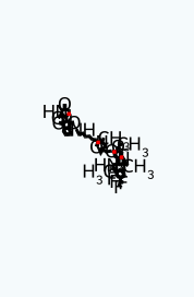 COc1cc2nc(C)nc(N[C@H](C)c3cccc(C(F)(F)F)c3F)c2cc1OCC1(CN(C)C(=O)CCCCCCNc2cccc3c2C(=O)N(C2CCC(=O)NC2=O)C3=O)CC1